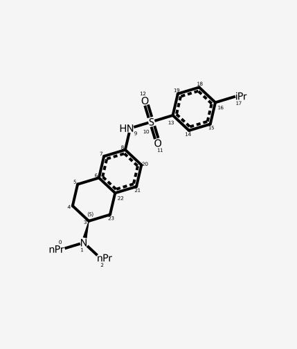 CCCN(CCC)[C@H]1CCc2cc(NS(=O)(=O)c3ccc(C(C)C)cc3)ccc2C1